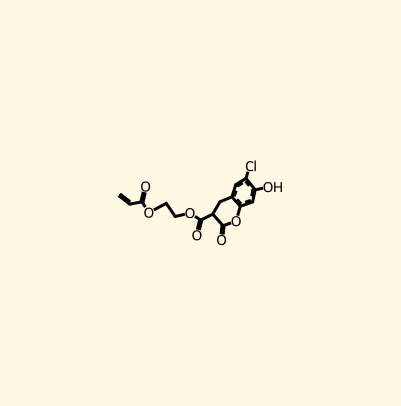 C=CC(=O)OCCOC(=O)C1Cc2cc(Cl)c(O)cc2OC1=O